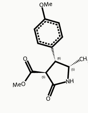 COC(=O)[C@@H]1C(=O)N[C@@H](C)[C@H]1c1ccc(OC)cc1